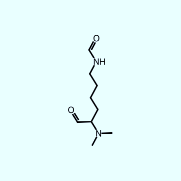 CN(C)C(C=O)CCCCNC=O